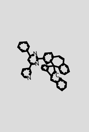 C1=Cc2ccc(-c3nc(-c4ccccc4)cc(-c4cccnc4)n3)cc2C2(c3ccccc31)c1ccccc1-c1cc3ccccc3cc12